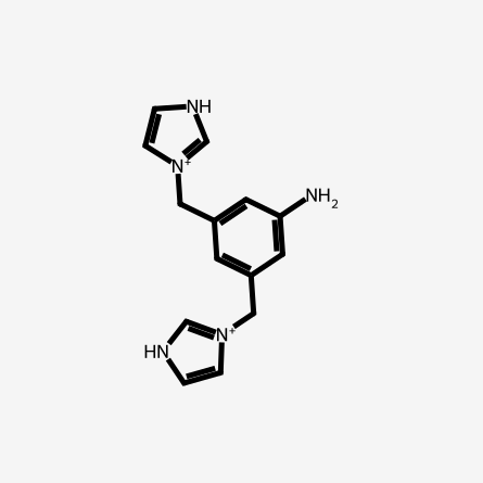 Nc1cc(C[n+]2cc[nH]c2)cc(C[n+]2cc[nH]c2)c1